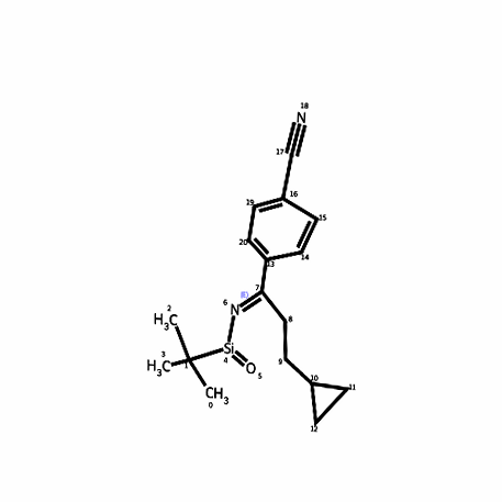 CC(C)(C)[Si](=O)/N=C(\CCC1CC1)c1ccc(C#N)cc1